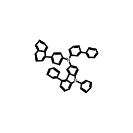 c1ccc(-c2cccc(N(c3ccc(-c4cccc5ccccc45)cc3)c3ccc4c(c3)c3c(-c5ccccc5)cccc3n4-c3ccccc3)c2)cc1